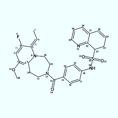 C=C(/C=C(F)\C(=C/C)N1CCCN(C(=O)c2ccc(NS(=O)(=O)C3CC=Cc4cccnc43)cc2)CC1)OC